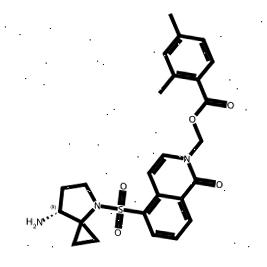 Cc1ccc(C(=O)OCn2ccc3c(S(=O)(=O)N4CC[C@@H](N)C45CC5)cccc3c2=O)c(C)c1